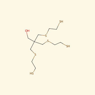 OCC(CSCCS)(CSCCS)CSCCS